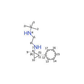 CC(C)(C)NCCN[C@]1(C)C[C@H]1c1ccccc1